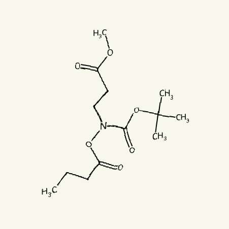 CCCC(=O)ON(CCC(=O)OC)C(=O)OC(C)(C)C